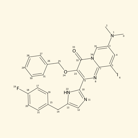 CN(C)c1cc(I)c2nc(-c3ncc(Cc4ccc(F)cc4)[nH]3)c(OCc3ccccc3)c(=O)n2c1